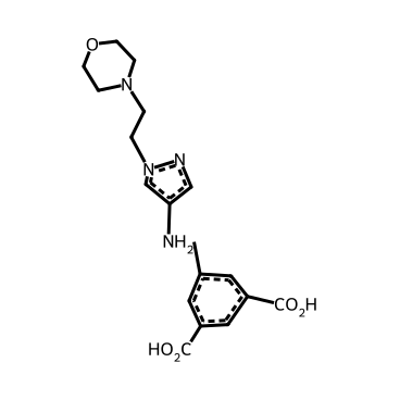 Cc1cc(C(=O)O)cc(C(=O)O)c1.Nc1cnn(CCN2CCOCC2)c1